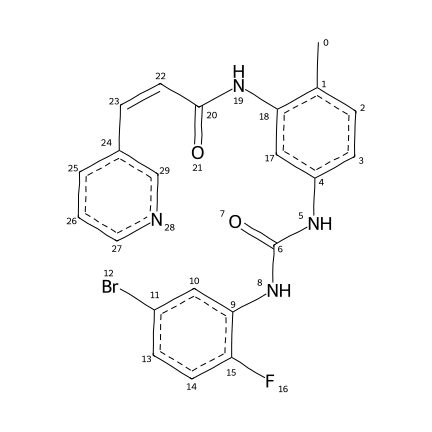 Cc1ccc(NC(=O)Nc2cc(Br)ccc2F)cc1NC(=O)/C=C\c1cccnc1